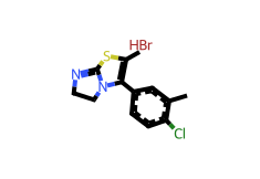 Br.CC1=C(c2ccc(Cl)c(C)c2)N2CCN=C2S1